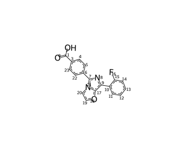 O=C(O)c1ccc(-c2nc(-c3ccccc3F)c3occn23)cc1